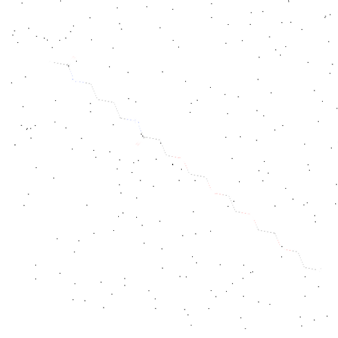 CC(=O)CCOCCOCCOCCOCCC(=O)NCCCCNC(=O)C(C)C